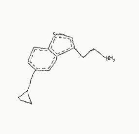 NCCc1csc2ccc(C3CC3)cc12